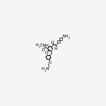 CNC(=O)c1cc(C(=O)NC2CC3(CC(N)C3)C2)cn(Cc2cccc(OCCN)c2)c1=O